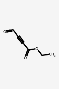 CCOC(=O)C#CC=O